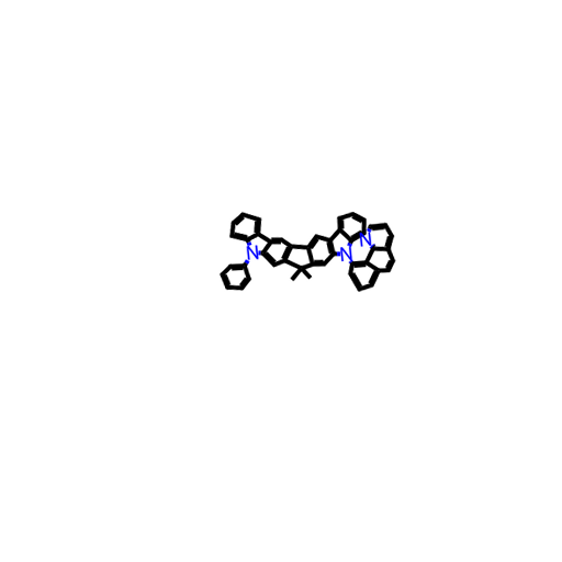 CC1(C)c2cc3c(cc2-c2cc4c5ccccc5n(-c5cccc6ccc7cccnc7c56)c4cc21)c1ccccc1n3-c1ccccc1